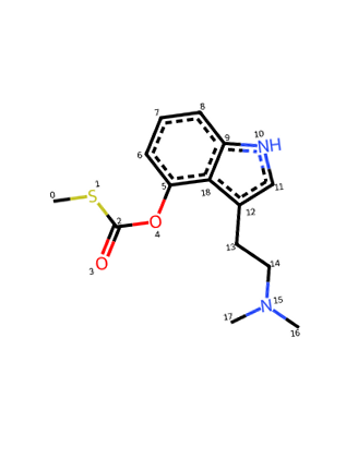 CSC(=O)Oc1cccc2[nH]cc(CCN(C)C)c12